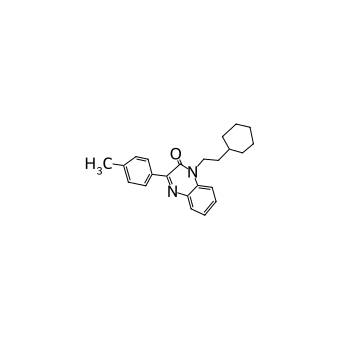 Cc1ccc(-c2nc3ccccc3n(CCC3CCCCC3)c2=O)cc1